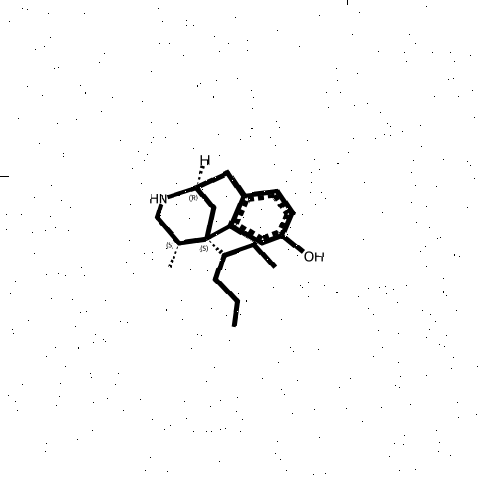 CCCC(CC)[C@]12C[C@H](Cc3ccc(O)cc31)NC[C@H]2C